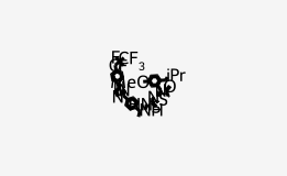 COc1ccc(CC(C)C)c(N2C(=O)CS/C2=N\C(=S)NNC(C)c2ccc(-c3ncn(-c4ccc(OC(F)(F)C(F)(F)F)cc4)n3)cc2)c1